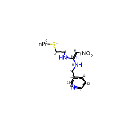 CCCSCCN/C(=C/[N+](=O)[O-])NCc1cccnc1